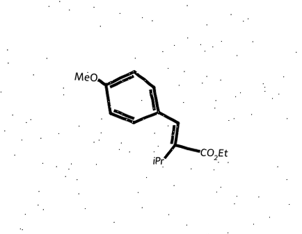 CCOC(=O)/C(=C/c1ccc(OC)cc1)C(C)C